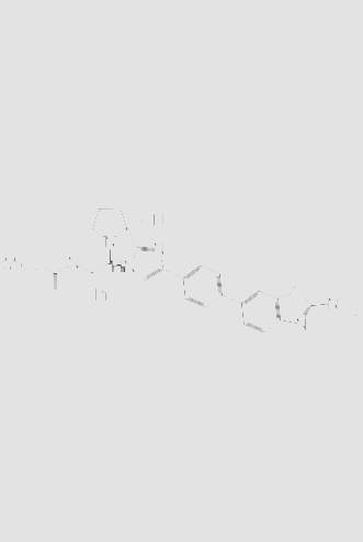 COC(=O)N[C@H](C(=O)N1CCC[C@@]1(C)c1nc(-c2ccc(-c3ccc4nc(N)sc4c3)cc2)c[nH]1)C(C)C